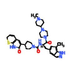 Cc1cc(C[C@@H](NC(=O)N2CCC(c3cc4c([nH]c3=O)SCC=C4)CC2)C(=O)N2CCN(C3CCN(C)CC3)CC2)cc2cn[nH]c12